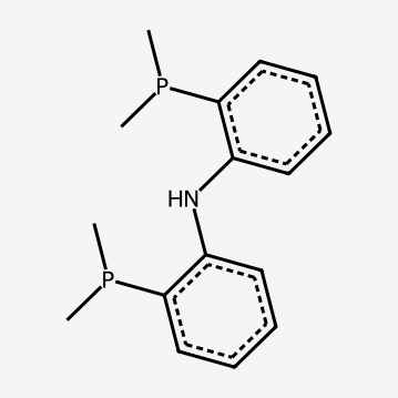 CP(C)c1ccccc1Nc1ccccc1P(C)C